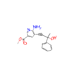 COC(=O)c1cnc(N)c(C#CC(C)(O)c2ccccc2)c1